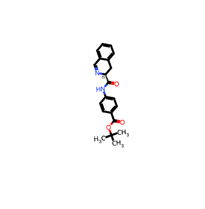 CC(C)(C)OC(=O)c1ccc(NC(=O)[C@@H]2Cc3ccccc3C=N2)cc1